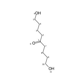 O=C(CCCCO)CCCCO